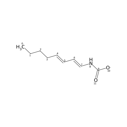 CCCC/C=C/C=C/NC([O])=O